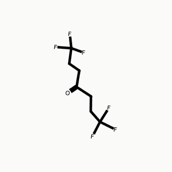 O=C(CCC(F)(F)F)CCC(F)(F)F